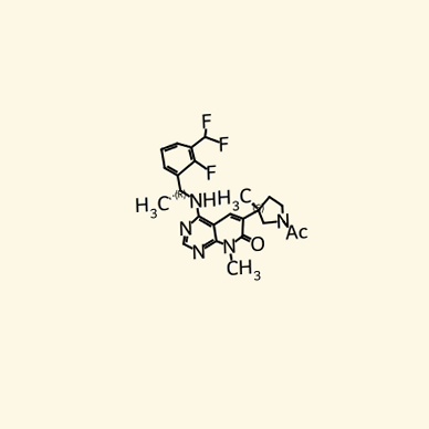 CC(=O)N1CC[C@@](C)(c2cc3c(N[C@H](C)c4cccc(C(F)F)c4F)ncnc3n(C)c2=O)C1